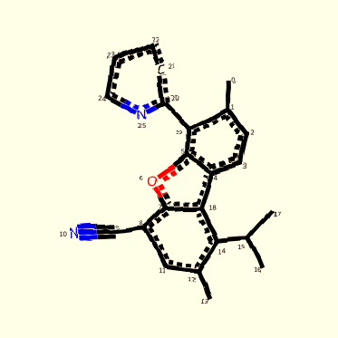 Cc1ccc2c(oc3c(C#N)cc(C)c(C(C)C)c32)c1-c1ccccn1